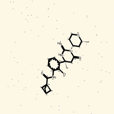 C[C@@H]1C[C@H](N2C(=N)N[C@](C)(c3cccc(NC(=O)C45CC(C4)C5)c3Cl)CC2=O)CCO1